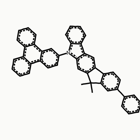 CC1(C)c2cc(-c3ccccc3)ccc2-c2cc3c4ccccc4n(-c4ccc5c6ccccc6c6ccccc6c5c4)c3cc21